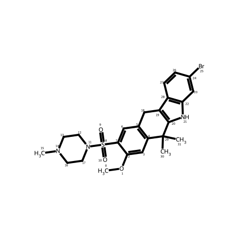 COc1cc2c(cc1S(=O)(=O)N1CCN(C)CC1)Cc1c([nH]c3cc(Br)ccc13)C2(C)C